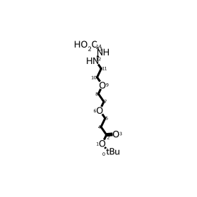 CC(C)(C)OC(=O)CCOCCOCCNNC(=O)O